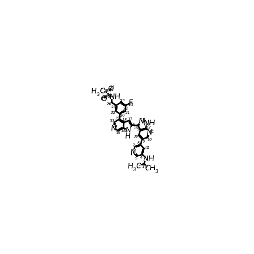 CC(C)Nc1cncc(-c2cnc3[nH]nc(-c4cc5c(-c6cc(F)cc(CNS(C)(=O)=O)c6)cncc5[nH]4)c3c2)c1